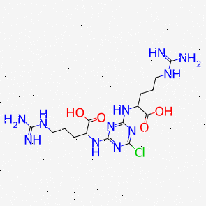 N=C(N)NCCCC(Nc1nc(Cl)nc(NC(CCCNC(=N)N)C(=O)O)n1)C(=O)O